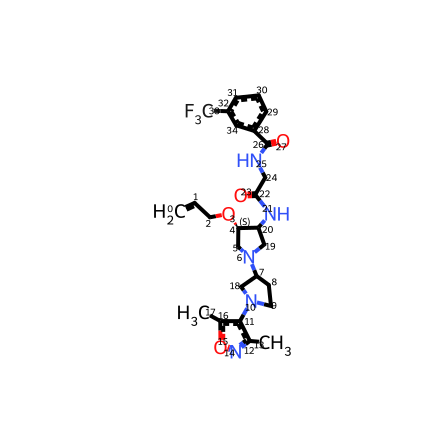 C=CCO[C@H]1CN(C2CCN(c3c(C)noc3C)C2)CC1NC(=O)CNC(=O)c1cccc(C(F)(F)F)c1